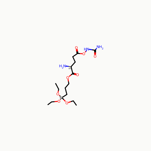 CCO[Si](CCCOC(=O)[C@@H](N)CCC(=O)ONC(N)=O)(OCC)OCC